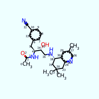 CC(=O)N[C@@H](Cc1cccc(C#N)c1)[C@H](O)CN[C@H]1CC(C)(C)Cc2ncc(C)cc21